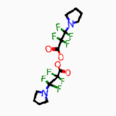 O=C(OOC(=O)C(F)(F)C(F)(F)N1CCCC1)C(F)(F)C(F)(F)N1CCCC1